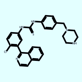 S=C(Nc1ccc(CN2CCNCC2)cc1)Nc1ccc(Cl)c(-c2nccc3ccccc23)c1